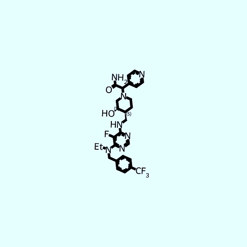 CCN(Cc1ccc(C(F)(F)F)cc1)c1ncnc(NC[C@@H]2CCN(C(C(N)=O)c3ccncc3)C[C@H]2O)c1F